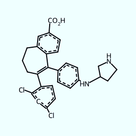 O=C(O)c1ccc2c(c1)CCCC(c1ccc(Cl)cc1Cl)=C2c1ccc(NC2CCNC2)cc1